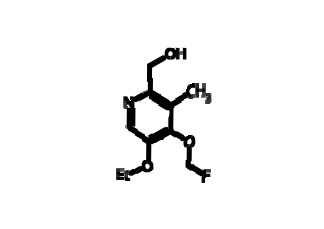 CCOc1cnc(CO)c(C)c1OCF